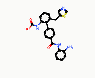 Nc1ccccc1NC(=O)c1ccc(-c2c(Cc3cncs3)cccc2NC(=O)O)cc1